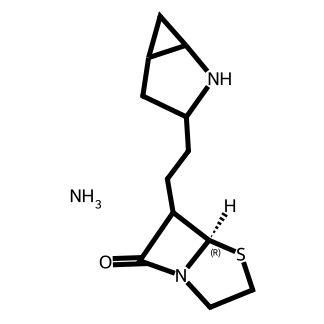 N.O=C1C(CCC2CC3CC3N2)[C@H]2SCCN12